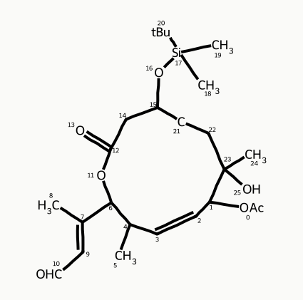 CC(=O)OC1C=CC(C)C(C(C)=CC=O)OC(=O)CC(O[Si](C)(C)C(C)(C)C)CCC1(C)O